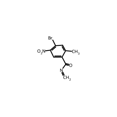 C=NC(=O)c1cc([N+](=O)[O-])c(Br)cc1C